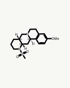 COc1ccc2c(c1)CCN1C[C@H]3CCCN(S(C)(=O)=O)[C@H]3C[C@H]21